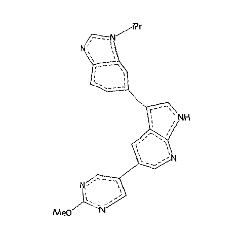 COc1ncc(-c2cnc3[nH]cc(-c4ccc5ncn(C(C)C)c5c4)c3c2)cn1